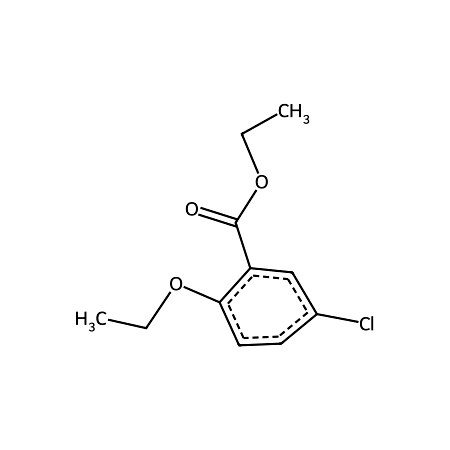 CCOC(=O)c1cc(Cl)ccc1OCC